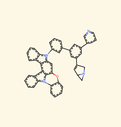 C1=C(c2cc(-c3cccnc3)cc(-c3cccc(-n4c5ccccc5c5c6c7ccccc7n7c6c(cc54)Oc4ccccc4-7)c3)c2)CN2CC12